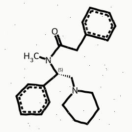 CN(C(=O)Cc1ccccc1)[C@H](CN1CCCCC1)c1ccccc1